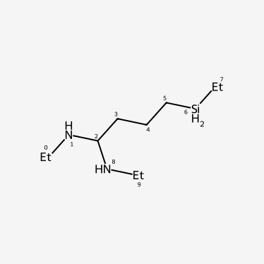 CCNC(CCC[SiH2]CC)NCC